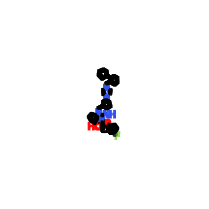 CC(O)C(Oc1ccc(F)cc1)n1c(=N)n(Cc2cccc(N3CCN(Cc4ccccc4-c4ccccc4)CC3)c2)c2ccccc21